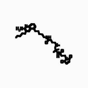 CCCCCc1cc2c(CCCCCNC(=O)CCCN(C)CC(C)(C)NC(=O)CCN3C(=O)C=CC3=O)cccc2nc1N